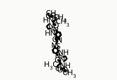 COC(=O)N[C@H](C(=O)N1CCC[C@H]1c1nc2c([nH]1)C1SC(c3nc4ccc5nc([C@@H]6CCCN6C(=O)[C@@H](NC(=O)OC)C(C)C)[nH]c5c4o3)=NC1C=C2)C(C)C